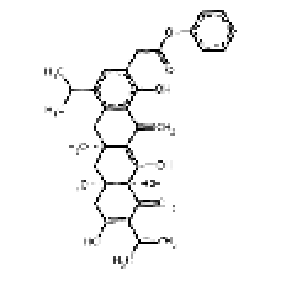 C=C(C)C1=C(O)C[C@@]2(C)C[C@@]3(C)Cc4c(C(C)C)cc(CC(=O)Oc5ccccc5)c(O)c4C(=C)C3=C(O)[C@@]2(O)C1=C